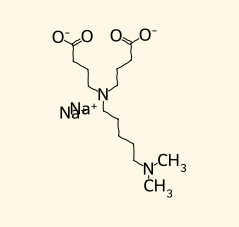 CN(C)CCCCCN(CCCC(=O)[O-])CCCC(=O)[O-].[Na+].[Na+]